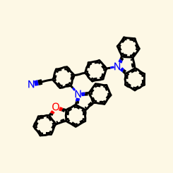 N#Cc1ccc(-c2ccc(-n3c4ccccc4c4ccccc43)cc2)c(-n2c3ccccc3c3ccc4c5ccccc5oc4c32)c1